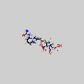 C[C@@H](O)[C@H]1C(=O)N2C(C(=O)O)=C(SCCc3cn4c(NC(N)=O)cccc4n3)[C@H](C)[C@H]12